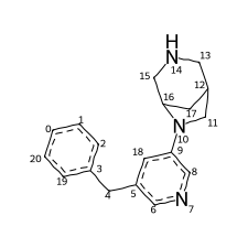 c1ccc(Cc2cncc(N3CC4CNCC3C4)c2)cc1